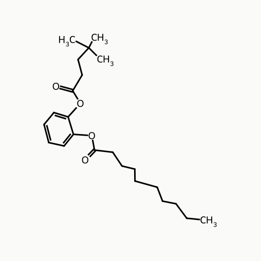 CCCCCCCCCC(=O)Oc1ccccc1OC(=O)CCC(C)(C)C